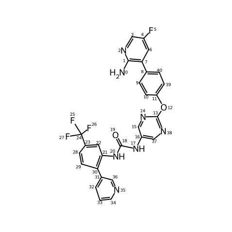 Nc1ncc(F)cc1-c1ccc(Oc2ncc(NC(=O)Nc3cc(C(F)(F)F)ccc3-c3cccnc3)cn2)cc1